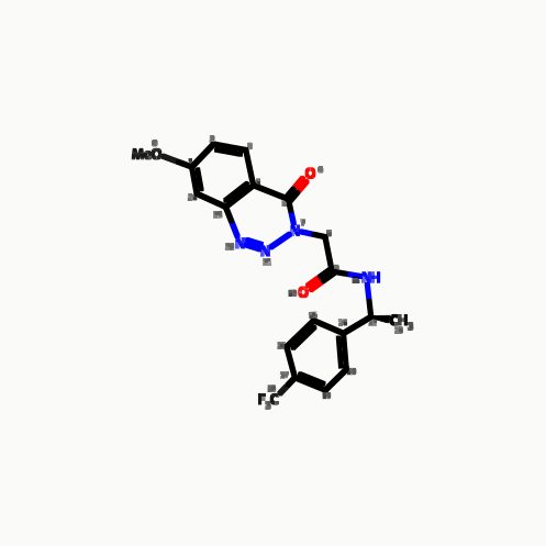 COc1ccc2c(=O)n(CC(=O)N[C@@H](C)c3ccc(C(F)(F)F)cc3)nnc2c1